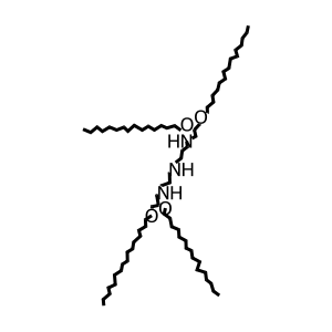 CCCCCCCCCCCCCCCCOCC(CNCCCCNCCCNCC(COCCCCCCCCCCCCCCCC)OCCCCCCCCCCCCCCCC)OCCCCCCCCCCCCCCCC